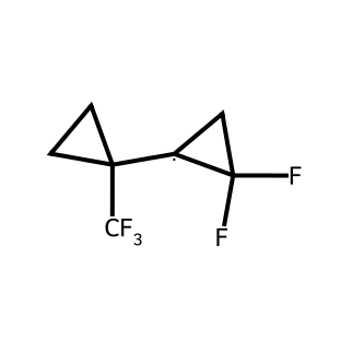 FC1(F)C[C]1C1(C(F)(F)F)CC1